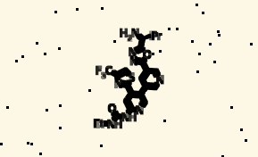 CCNC(=O)Nc1cc(-c2nc(C(F)(F)F)cs2)c(-c2cncc(-c3nnc([C@@H](N)C(C)C)o3)c2)cn1